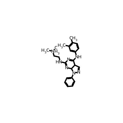 Cc1ccc(NC2=NC(NCCN(C)C)=NC3C2C=NN3c2ccccc2)cc1C